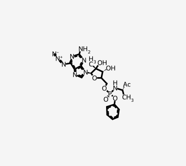 CC(=O)[C@H](C)NP(=O)(OCC1O[C@@H](n2cnc3c(N=[N+]=[N-])nc(N)nc32)[C@](C)(O)[C@@H]1O)Oc1ccccc1